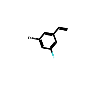 C=[C]c1cc(F)cc(CC)c1